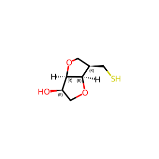 O[C@@H]1CO[C@@H]2[C@H](CS)CO[C@@H]21